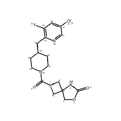 O=C1NC2(CO1)CN(C(=O)N1CCC(Cc3ncc(C(F)(F)F)cc3F)CC1)C2